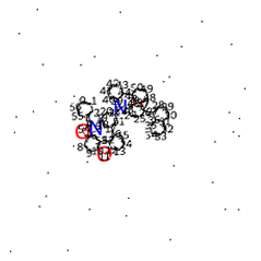 c1ccc(-c2nc3c(ccc4oc5cccc(-c6cccc(N(c7ccc(-c8cccc9ccccc89)cc7)c7ccccc7-c7ccccc7)c6)c5c43)o2)cc1